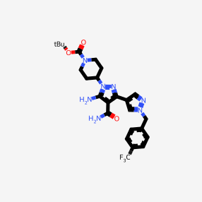 CC(C)(C)OC(=O)N1CCC(n2nc(-c3cnn(Cc4ccc(C(F)(F)F)cc4)c3)c(C(N)=O)c2N)CC1